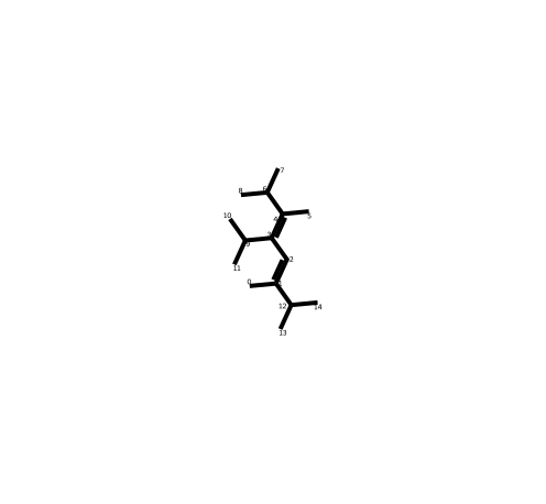 C/C(=C\C(=C(/C)C(C)C)C(C)C)C(C)C